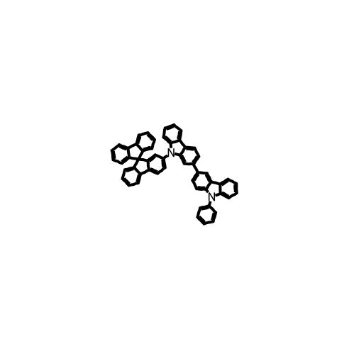 c1ccc(-n2c3ccccc3c3cc(-c4ccc5c6ccccc6n(-c6ccc7c(c6)C6(c8ccccc8-c8ccccc86)c6ccccc6-7)c5c4)ccc32)cc1